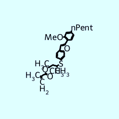 C=C(C)C(=O)OC(C)(C)CC(C)Sc1ccc2cc(-c3ccc(CCCCC)cc3OC)oc2c1